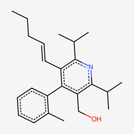 CCCC=Cc1c(C(C)C)nc(C(C)C)c(CO)c1-c1ccccc1C